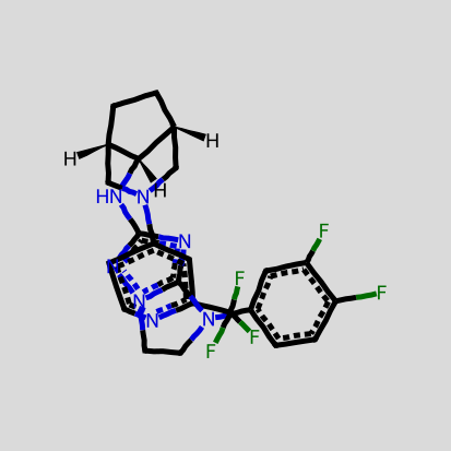 Fc1ccc(N2CCn3nc(N[C@H]4[C@@H]5CC[C@H]4CN(c4ccnc(C(F)(F)F)c4)C5)nc32)cc1F